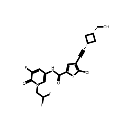 O=C(Nc1cc(F)c(=O)n(CC(F)F)c1)c1cc(C#C[C@H]2C[C@@H](CO)C2)c(Cl)s1